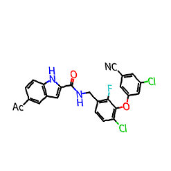 CC(=O)c1ccc2[nH]c(C(=O)NCc3ccc(Cl)c(Oc4cc(Cl)cc(C#N)c4)c3F)cc2c1